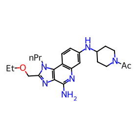 CCCn1c(COCC)nc2c(N)nc3cc(NC4CCN(C(C)=O)CC4)ccc3c21